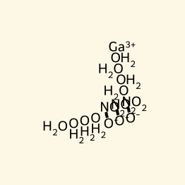 O.O.O.O.O.O.O.O.O=[N+]([O-])[O-].O=[N+]([O-])[O-].O=[N+]([O-])[O-].[Ga+3]